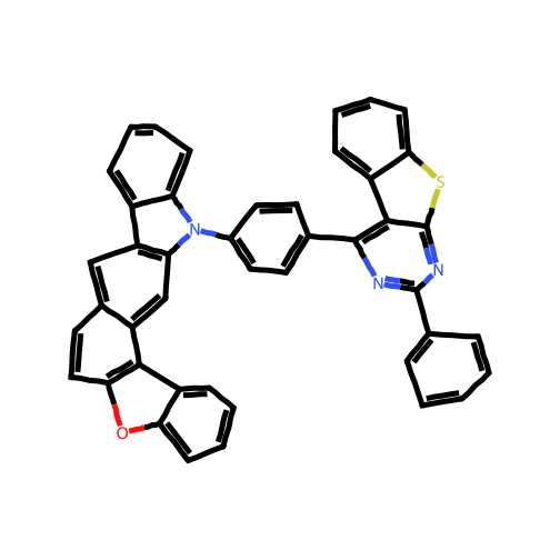 c1ccc(-c2nc(-c3ccc(-n4c5ccccc5c5cc6ccc7oc8ccccc8c7c6cc54)cc3)c3c(n2)sc2ccccc23)cc1